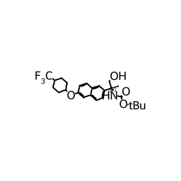 CC(C)(C)OC(=O)N[C@@](C)(CO)c1ccc2cc(OC3CCC(C(F)(F)F)CC3)ccc2c1